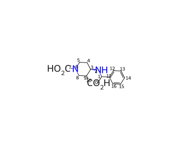 CC(N[C@@H]1CCN(C(=O)O)C[C@@H]1C(=O)O)c1ccccc1